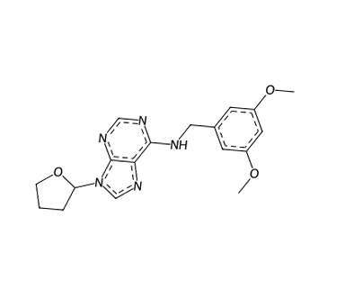 COc1cc(CNc2ncnc3c2ncn3C2CCCO2)cc(OC)c1